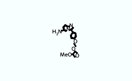 COC1COCC1OCCOc1ccc(-c2cnc3ccc(N)cn23)cc1